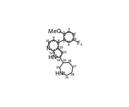 COc1ccc(F)cc1-c1ccnc2[nH]c(C3CCCCNC3)cc12